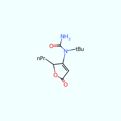 CCCC1OC(=O)C=C1N(C(N)=O)C(C)(C)C